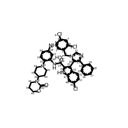 C[C@@H](c1ccc(Cl)cc1Cl)n1cnc(-c2ccccc2)c1-c1c(C(=O)Nc2cc(N)ccc2N2CCC(N3CCCOC3=O)CC2)[nH]c2cc(Cl)ccc12